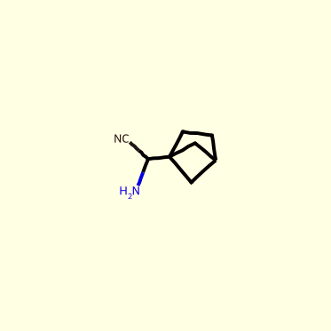 N#CC(N)C12CCC(C1)C2